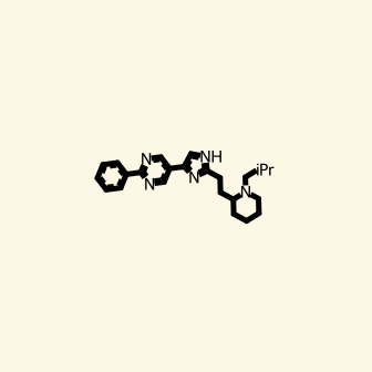 CC(C)CN1CCCCC1CCc1nc(-c2cnc(-c3ccccc3)nc2)c[nH]1